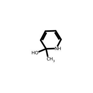 CC1(O)C=CC=CN1